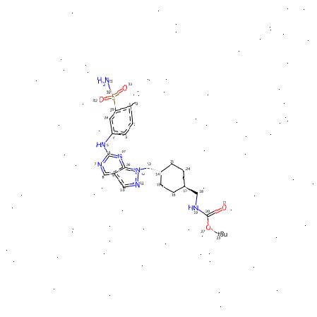 Cc1ccc(Nc2ncc3cnn(C[C@H]4CC[C@H](CNC(=O)OC(C)(C)C)CC4)c3n2)cc1S(N)(=O)=O